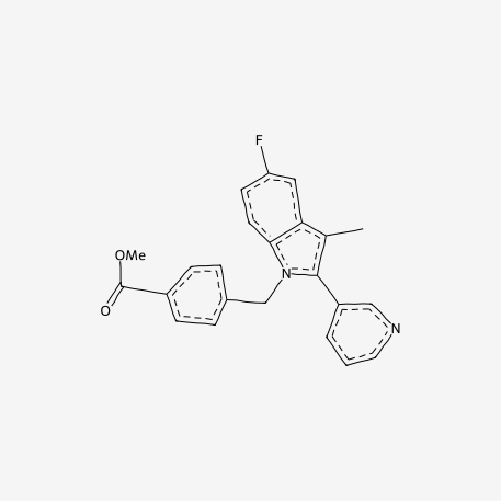 COC(=O)c1ccc(Cn2c(-c3cccnc3)c(C)c3cc(F)ccc32)cc1